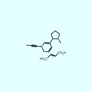 CC#CN1C=C(C2CCCN2C)C=CC1.O=C(O)/C=C/C(=O)O